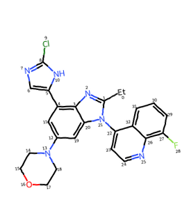 CCc1nc2c(-c3cnc(Cl)[nH]3)cc(N3CCOCC3)cc2n1-c1ccnc2c(F)cccc12